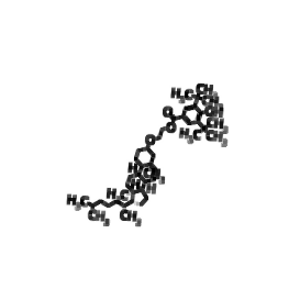 CC(C)CCC[C@@H](C)[C@H]1CC[C@H]2[C@@H]3CC=C4CC(OCCOC(=O)c5cc(C(C)(C)C)c(O)c(C(C)(C)C)c5)CC[C@]4(C)[C@H]3CC[C@]12C